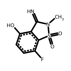 CN1C(=N)c2c(O)ccc(F)c2S1(=O)=O